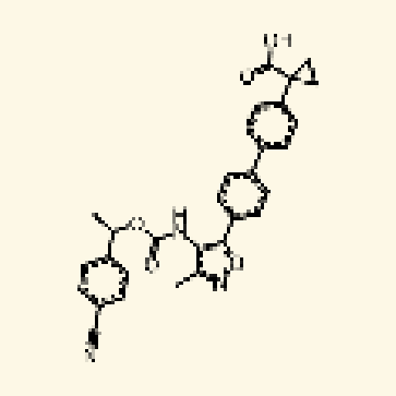 Cc1noc(-c2ccc(-c3ccc(C4(C(=O)O)CC4)cc3)cc2)c1NC(=O)O[C@H](C)c1ccc(C#N)cc1